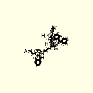 CC(=O)CCC(=O)N1Cc2ccccc2C[C@H]1C(=O)NCCCC[C@H](NC(=O)OC(C)(C)CN=[N+]=[N-])C(=O)NCC(c1ccccc1)c1ccccc1